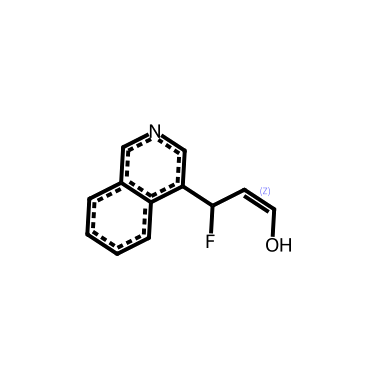 O/C=C\C(F)c1cncc2ccccc12